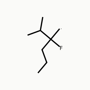 [CH2]C(F)(CCC)C(C)C